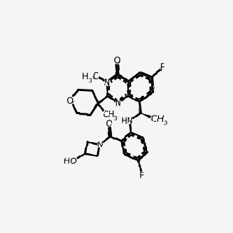 C[C@@H](Nc1ccc(F)cc1C(=O)N1CC(O)C1)c1cc(F)cc2c(=O)n(C)c(C3(C)CCOCC3)nc12